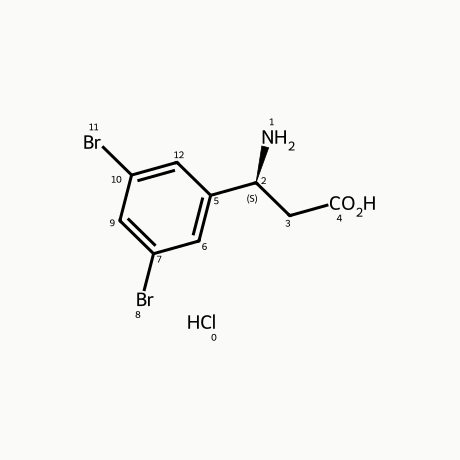 Cl.N[C@@H](CC(=O)O)c1cc(Br)cc(Br)c1